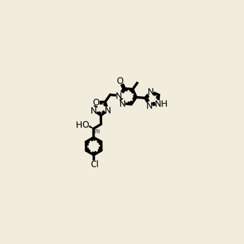 Cc1c(-c2nc[nH]n2)cnn(Cc2nc(C[C@H](O)c3ccc(Cl)cc3)no2)c1=O